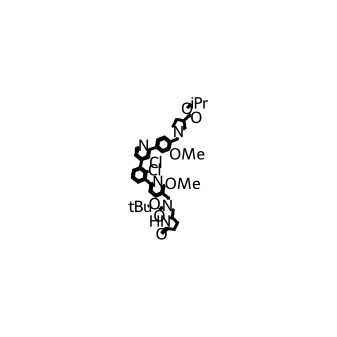 COc1cc(-c2nccc(-c3cccc(-c4ccc(CN(CC5CCC(=O)N5)C(=O)OC(C)(C)C)c(OC)n4)c3Cl)c2Cl)ccc1CN1CCC(C(=O)OC(C)C)C1